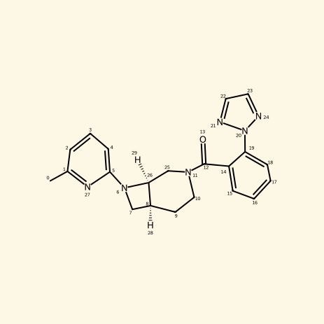 Cc1cccc(N2C[C@@H]3CCN(C(=O)c4ccccc4-n4nccn4)C[C@@H]32)n1